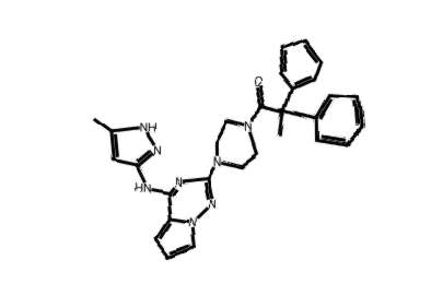 Cc1cc(Nc2nc(N3CCN(C(=O)C(C)(c4ccccc4)c4ccccc4)CC3)nn3cccc23)n[nH]1